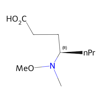 CCC[C@H](CCC(=O)O)N(C)OC